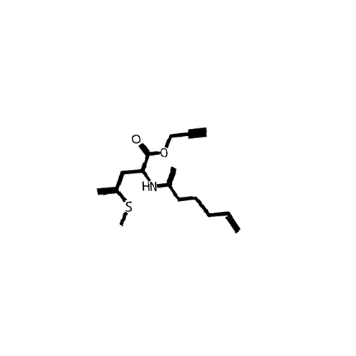 C#CCOC(=O)C(CC(=C)SC)NC(=C)CCCC=C